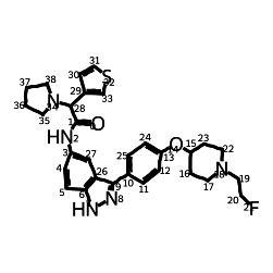 O=C(Nc1ccc2[nH]nc(-c3ccc(OC4CCN(CCF)CC4)cc3)c2c1)C(c1ccsc1)N1CCCC1